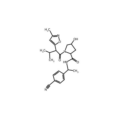 Cc1cc(C(C(=O)N2CC(O)CC2C(=O)NC(C)c2ccc(C#N)cc2)C(C)C)on1